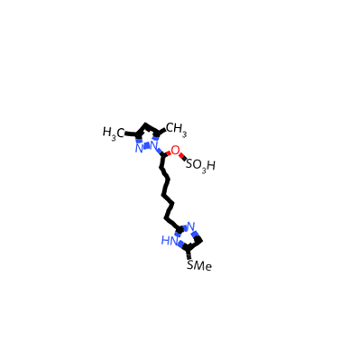 CSc1cnc(CCCCCC(OS(=O)(=O)O)n2nc(C)cc2C)[nH]1